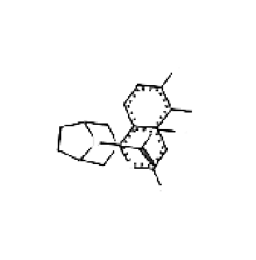 CC(C)(C)OC(=O)N1CC2CCC(C1)N2c1nc(Cl)cc2c(F)c(Br)ccc12